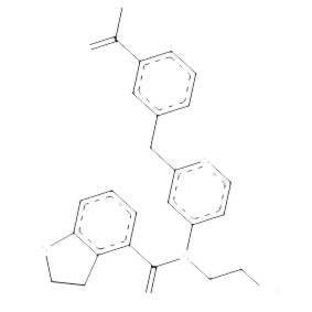 CC(=O)c1cccc(Cc2cc(N(CCO)C(=O)c3cccc4c3CCN4)ccn2)c1